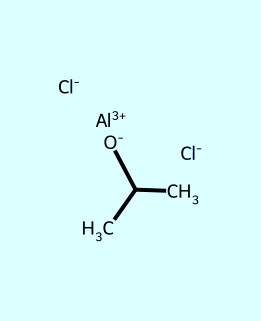 CC(C)[O-].[Al+3].[Cl-].[Cl-]